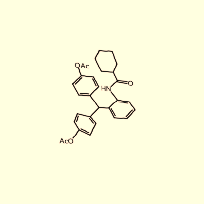 CC(=O)Oc1ccc(C(c2ccc(OC(C)=O)cc2)c2ccccc2NC(=O)C2CCCCC2)cc1